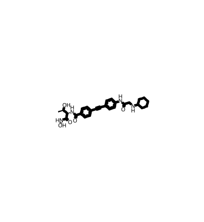 C[C@@H](O)[C@H](NC(=O)c1ccc(C#Cc2ccc(NC(=O)CNC3CCCCC3)cc2)cc1)C(=O)NO